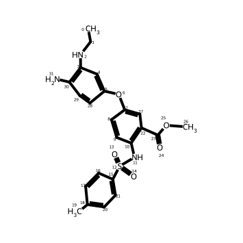 CCNc1cc(Oc2ccc(NS(=O)(=O)c3ccc(C)cc3)c(C(=O)OC)c2)ccc1N